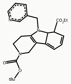 CCOC(=O)C1C=CC=C2C3=C(CCN(C(=O)OC(C)(C)C)C3)N(Cc3cccnc3)C21